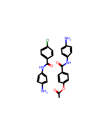 CC(=O)Oc1ccc(C(=O)Nc2ccc(N)cc2)cc1.Nc1ccc(NC(=O)c2ccc(Cl)cc2)cc1